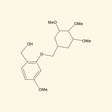 COc1ccc(CO)c(OCC2CC(OC)C(OC)C(OC)C2)c1